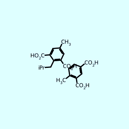 Cc1cc(C(=O)O)c(CC(C)C)c(C(=O)O)c1.Cc1ccc(C(=O)O)cc1C(=O)O